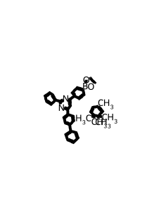 CC1=CC(C)(C)C(C)(C)C=C1.c1ccc(-c2ccc(-c3cc(-c4ccc(B5OCCO5)cc4)nc(-c4ccccc4)n3)cc2)cc1